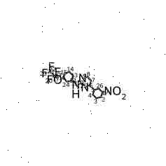 O=[N+]([O-])c1cccc(-c2ccnc(Nc3cccc(OC(F)(F)C(F)F)c3)n2)c1